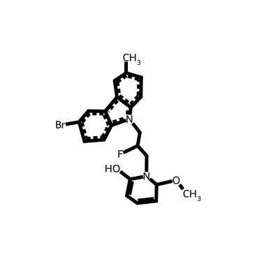 COC1C=CC=C(O)N1CC(F)Cn1c2ccc(C)cc2c2cc(Br)ccc21